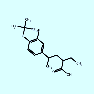 CCC(CC(C)c1ccc(OC(C)(C)C)c(F)c1)C(=O)O